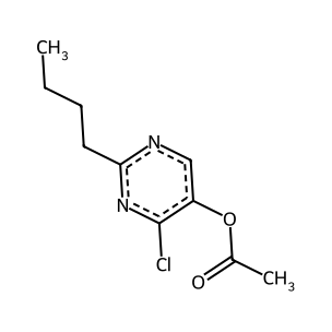 CCCCc1ncc(OC(C)=O)c(Cl)n1